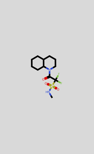 CNS(=O)(=O)C(F)(F)C(=O)N1CCCC2CCCCC21